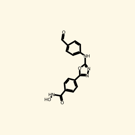 O=Cc1ccc(Nc2nnc(-c3ccc(C(=O)NO)cc3)o2)cc1